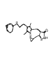 Cc1[nH]c(C=C2C(=O)NN=C2C2CC2)c(C)c1CCNc1ccccc1